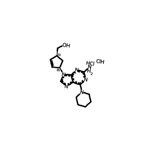 Cl.Cl.Nc1nc(N2CCCCC2)c2ncn([C@H]3C=C[C@@H](CO)C3)c2n1